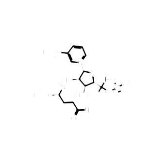 CCC(C)(OP(=O)(O)O)[C@@H]1O[C@@H]([n+]2cccc(C(=O)O)c2)[C@H](O)[C@@H]1O.NC(=O)CC[C@H](N)C(=O)O